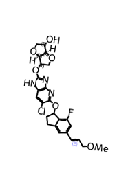 COC/C=C/c1cc(F)c2c(c1)CCC2Oc1nc2nc(O[C@@H]3CO[C@H]4[C@@H]3OC[C@H]4O)[nH]c2cc1Cl